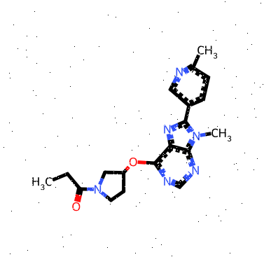 CCC(=O)N1CCC(Oc2ncnc3c2nc(-c2ccc(C)nc2)n3C)C1